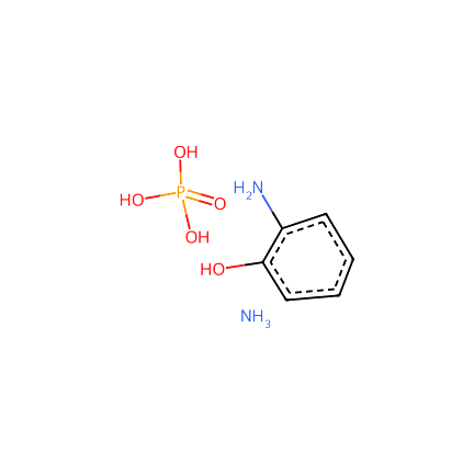 N.Nc1ccccc1O.O=P(O)(O)O